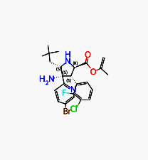 C=C(C)OC(=O)[C@@H]1N[C@@H](CC(C)(C)C)[C@](N)(c2ccc(Br)cn2)[C@H]1c1cccc(Cl)c1F